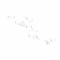 CC[C@H](C)[C@@H](C(=O)N[C@H]1CCc2cccc3c2N(C1=O)[C@H](C(=O)NCc1c[nH]nn1)C3)N(C)C(O)CC(=O)O